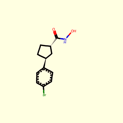 O=C(NO)[C@H]1CC[C@H](c2ccc(Br)cc2)C1